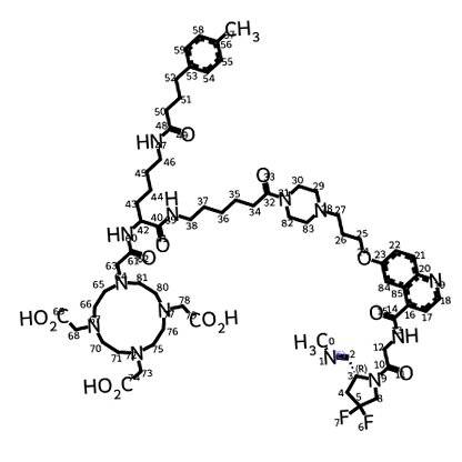 C/N=C/[C@H]1CC(F)(F)CN1C(=O)CNC(=O)c1ccnc2ccc(OCCCN3CCN(C(=O)CCCCCNC(=O)C(CCCCNC(=O)CCCc4ccc(C)cc4)NC(=O)CN4CCN(CC(=O)O)CCN(CC(=O)O)CCN(CC(=O)O)CC4)CC3)cc12